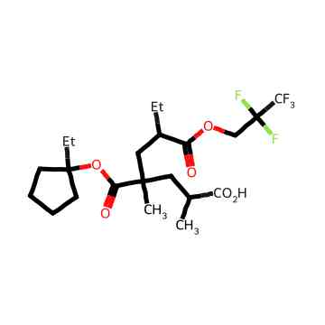 CCC(CC(C)(CC(C)C(=O)O)C(=O)OC1(CC)CCCC1)C(=O)OCC(F)(F)C(F)(F)F